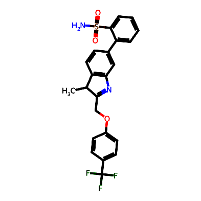 CC1C(COc2ccc(C(F)(F)F)cc2)=Nc2cc(-c3ccccc3S(N)(=O)=O)ccc21